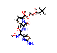 CO/N=C(\C(=O)NC1C(=O)N2C(C(=O)OCOC(=O)CC(C)(C)C)=CCS[C@H]12)c1csc(N)n1